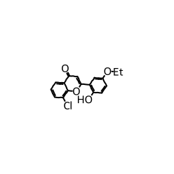 CCOc1ccc(O)c(-c2cc(=O)c3cccc(Cl)c3o2)c1